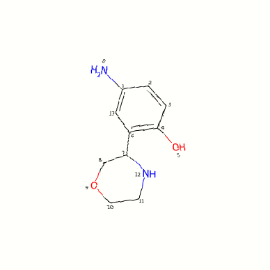 Nc1ccc(O)c(C2COCCN2)c1